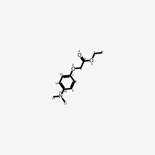 CCOC(=O)COc1ccc(N(C)C)cc1